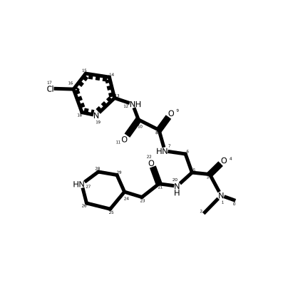 CN(C)C(=O)C(CNC(=O)C(=O)Nc1ccc(Cl)cn1)NC(=O)CC1CCNCC1